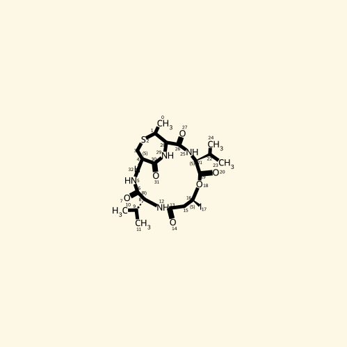 CC1SC[C@H]2NC(=O)[C@@H](C(C)C)NC(=O)C[C@H](I)OC(=O)[C@H](C(C)C)NC(=O)C1NC2=O